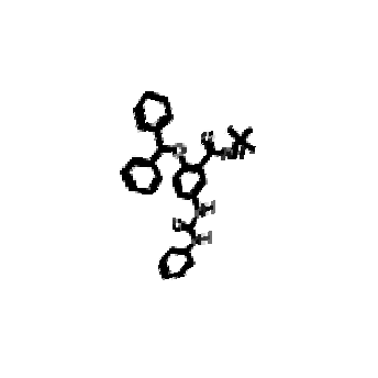 CC(C)(C)NC(=O)c1cc(NC(=O)Nc2ccccc2)ccc1OC(c1ccccc1)c1ccccc1